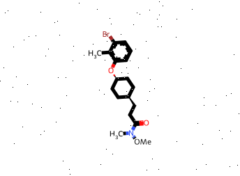 CON(C)C(=O)CC[C@H]1CC[C@H](Oc2cccc(Br)c2C)CC1